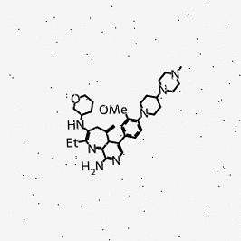 C=C1CC(NC2CCCOC2)=C(CC)N=C2C(N)=NC=C(c3ccc(N4CCC(N5CCN(C)CC5)CC4)c(OC)c3)C12